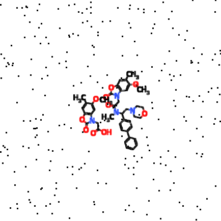 COc1cc2c(cc1C)oc(=O)n2CC(=O)N(C)C(CN1CCOCC1)c1ccc(-c2ccccc2)cc1.COc1cc2c(cc1C)oc(=O)n2CC(=O)O